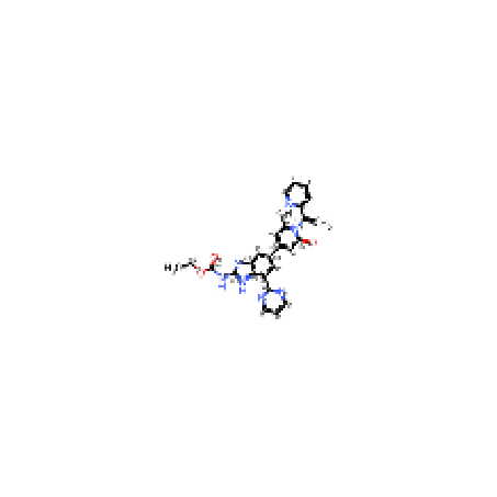 C=C(c1ccccn1)n1c(C)cc(-c2cc(-c3ncccn3)c3[nH]c(NC(=O)OCC)nc3c2)cc1=O